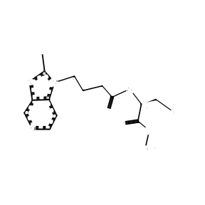 CCCCCCCCCCOC(=O)[C@H](CC(C)C)NC(=O)CCCn1c(C)nc2cnccc21